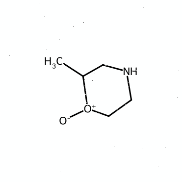 CC1CNCC[O+]1[O-]